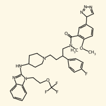 COc1ccc(C2C=NN=N2)cc1C(=O)N(C)CC(CCN1CCC(Nc2nc3ccccc3n2CCOC(F)(F)F)CC1)c1ccc(F)cc1